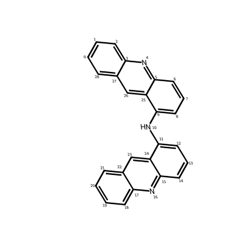 c1ccc2nc3cccc(Nc4cccc5nc6ccccc6cc45)c3cc2c1